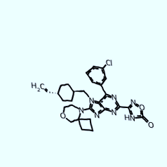 C=C[C@H]1CC[C@H](Cn2c(N3CCOCC34CCC4)nc3nc(-c4noc(=O)[nH]4)nc(-c4cccc(Cl)c4)c32)CC1